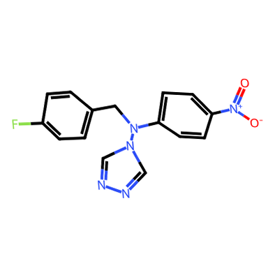 O=[N+]([O-])c1ccc(N(Cc2ccc(F)cc2)n2cnnc2)cc1